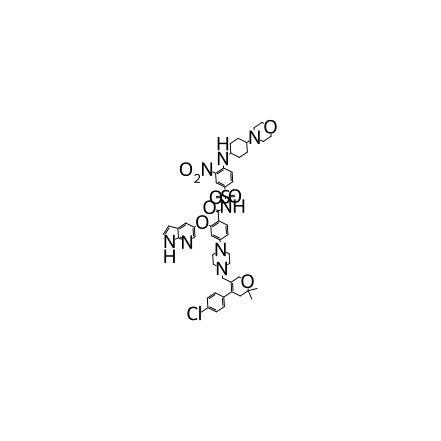 CC1(C)CC(c2ccc(Cl)cc2)=C(CN2CCN(c3ccc(C(=O)NS(=O)(=O)c4ccc(N[C@H]5CC[C@H](N6CCOCC6)CC5)c([N+](=O)[O-])c4)c(Oc4cnc5[nH]ccc5c4)c3)CC2)CO1